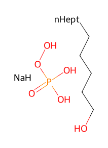 CCCCCCCCCCCCO.O=P(O)(O)OO.[NaH]